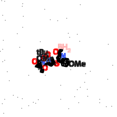 BCC(=O)c1cc(O[C@@H]2C[C@@H](C(=O)N[C@]3(C(=O)OC)C[C@H]3C=C)N(C(=O)OC(C)(C)C)C2)c2ccc(OC)cc2n1